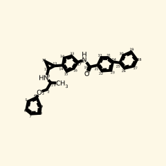 CC(COc1ccccc1)NC1CC1c1ccc(NC(=O)c2ccc(-c3ccccc3)cc2)cc1